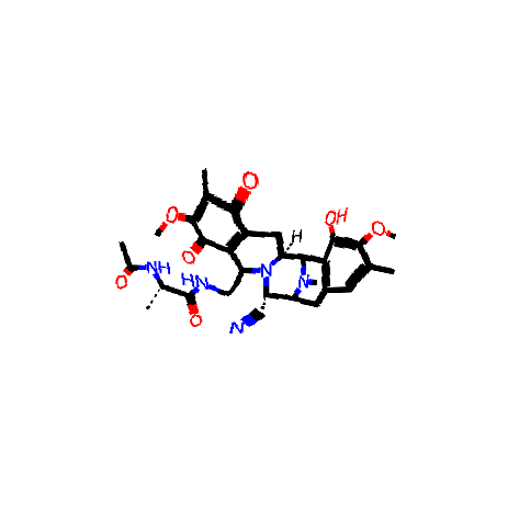 COC1=C(C)C(=O)C2=C(C1=O)C(CNC(=O)[C@H](C)NC(C)=O)N1[C@@H](C#N)C3Cc4cc(C)c(OC)c(O)c4C([C@@H]1C2)N3C